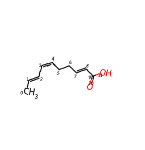 C/C=C/C=C\CC/C=C/C(=O)O